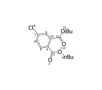 CCCCOC(=O)c1ccc(Cl)cc1C(=O)OCC(C)C